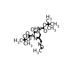 CO/N=C/C1=NN(C(=O)OC(C)(C)C)C(=O)N(NC(=O)OC(C)(C)C)C1